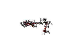 CCCO[C@H](C[C@H](C(C)C)N(CCC)C(=O)[C@@H](NC(=O)[C@H]1CCCCN1C)[C@@H](C)CC)c1nc(C(=O)N[C@@H](Cc2ccc(O)cc2)C[C@H](C)C(=O)NNC(=O)OCCOCCOCCOCCNC(=O)OCc2ccc(NC(=O)[C@H](CCCNC(N)=O)NC(=O)[C@@H](NC(=O)CCCC(=O)NCc3ccc(COc4nc(N)nc5[nH]cnc45)cc3)C(C)C)cc2)cs1